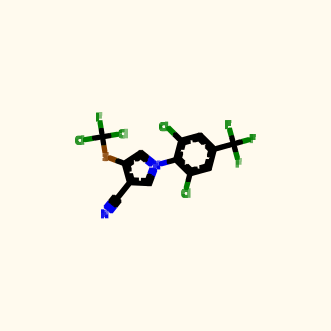 N#Cc1cn(-c2c(Cl)cc(C(F)(F)F)cc2Cl)cc1SC(F)(Cl)Cl